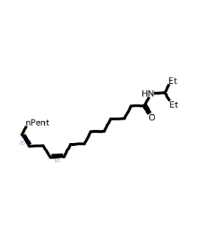 [CH2]CC(CC)NC(=O)CCCCCCC/C=C\C/C=C\CCCCC